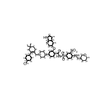 CC1(C)CCC(CN2CCN(c3ccc(C(=O)NS(=O)(=O)c4ccc(NC[C@@H]5CCCOC5)c([N+](=O)[O-])c4)c(Oc4cnc5[nH]ccc5c4)c3)CC2)=C(c2ccc(Cl)cc2)C1